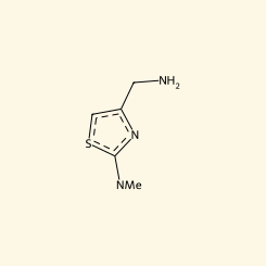 CNc1nc(CN)cs1